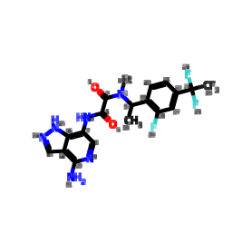 CCN(C(=O)C(=O)Nc1cnc(N)c2cn[nH]c12)C(C)c1ccc(C(F)(F)C(F)(F)F)cc1F